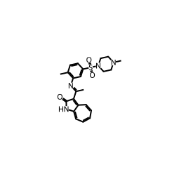 C/C(=N\c1cc(S(=O)(=O)N2CCN(C)CC2)ccc1C)c1c2cccccc-2[nH]c1=O